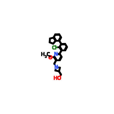 COc1nc(-c2cccc(-c3cccc4c3CCC4)c2Cl)ccc1CN1CC(CO)C1